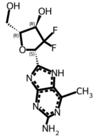 Cc1nc(N)nc2nc([C@@H]3O[C@H](CO)[C@@H](O)C3(F)F)[nH]c12